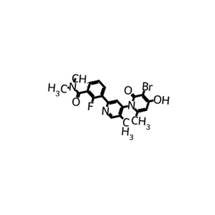 Cc1cnc(-c2cccc(C(=O)N(C)C)c2F)cc1-n1c(C)cc(O)c(Br)c1=O